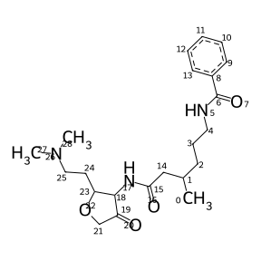 CC(CCCNC(=O)c1ccccc1)CC(=O)NC1C(=O)COC1CCN(C)C